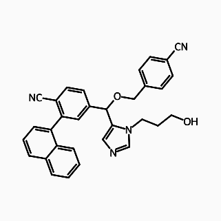 N#Cc1ccc(COC(c2ccc(C#N)c(-c3cccc4ccccc34)c2)c2cncn2CCCO)cc1